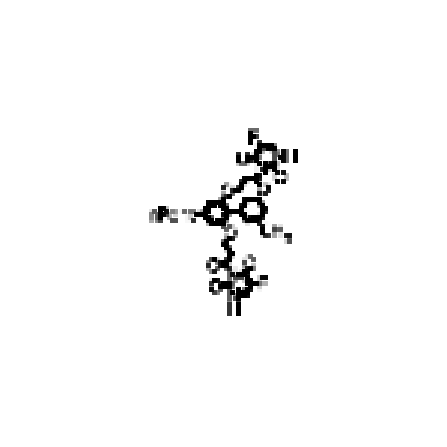 CCCCCc1cc(OCCC(=O)n2c(=O)[nH]cc(F)c2=O)c(C2C=C(C)CCC2)c(OCCC(=O)n2c(=O)[nH]cc(F)c2=O)c1